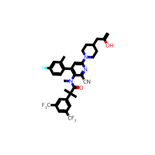 C=C(O)CC1CCN(c2cc(-c3ccc(F)cc3C)c(N(C)C(=O)C(C)(C)c3cc(C(F)(F)F)cc(C(F)(F)F)c3)c(C#N)n2)CC1